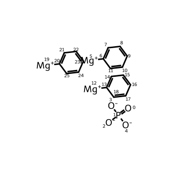 O=P([O-])([O-])[O-].[Mg+][c]1ccccc1.[Mg+][c]1ccccc1.[Mg+][c]1ccccc1